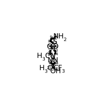 C[C@H]1CN(S(=O)(=O)c2ccc(N)s2)CCN1c1ncc(C(C)(O)C(F)(F)F)cn1